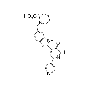 O=C(O)[C@@H]1CCCCN1Cc1ccc2cc(-c3cc(-c4ccncc4)n[nH]c3=O)[nH]c2c1